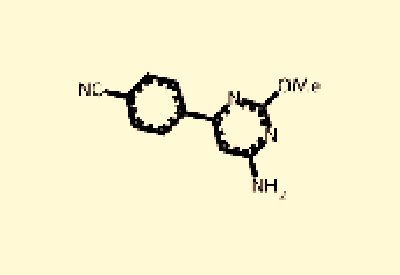 COc1nc(N)cc(-c2ccc(C#N)cc2)n1